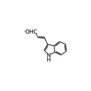 O=[C]C=Cc1c[nH]c2ccccc12